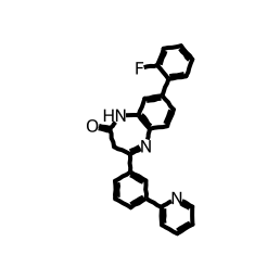 O=C1CC(c2cccc(-c3ccccn3)c2)=Nc2ccc(-c3ccccc3F)cc2N1